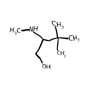 CNC(CO)C(C)(C)C